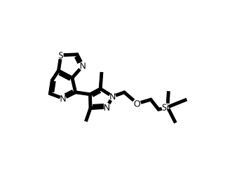 Cc1nn(COCC[Si](C)(C)C)c(C)c1-c1nccc2scnc12